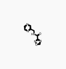 O=C(NCc1cnccn1)c1ncon1